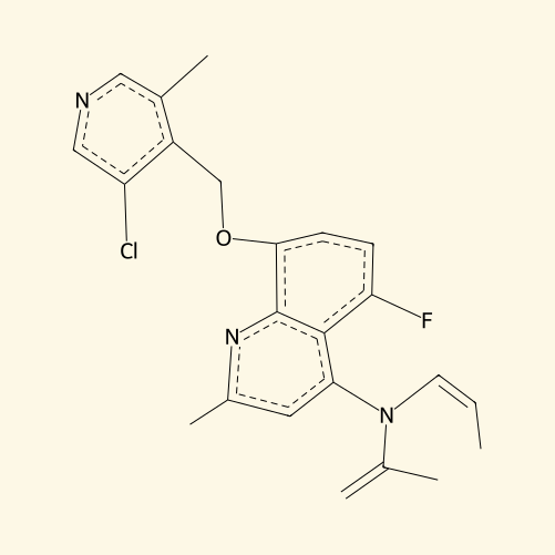 C=C(C)N(/C=C\C)c1cc(C)nc2c(OCc3c(C)cncc3Cl)ccc(F)c12